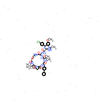 COc1ccc2c(c1)C(c1ccc(Cl)cc1)=N[C@@H](CC(=O)NC[C@H]1NC(=O)[C@@H](C(C)C)NC(=O)[C@@H](Cc3ccc(-c4ccccc4)cc3)NC(=O)[C@@H]3CCCN3C(=O)C(C(C)(C)C)NC(=O)COCCNC1=O)c1nnc(C)n1-2